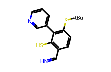 CC(C)(C)Sc1ccc(C=N)c(S)c1-c1cccnc1